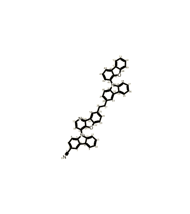 N#Cc1ccc2c(c1)c1ccccc1n2-c1ccnc2c1oc1ccc(CCc3ccc4c(c3)c3ccccc3n4-c3cccc4c3oc3ccccc34)cc12